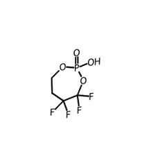 O=P1(O)OCCC(F)(F)C(F)(F)O1